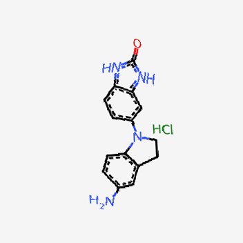 Cl.Nc1ccc2c(c1)CCN2c1ccc2[nH]c(=O)[nH]c2c1